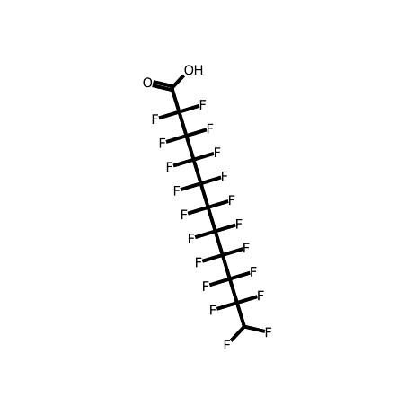 O=C(O)C(F)(F)C(F)(F)C(F)(F)C(F)(F)C(F)(F)C(F)(F)C(F)(F)C(F)(F)C(F)(F)C(F)F